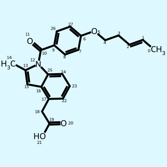 CC=CCCOc1ccc(C(=O)n2c(C)cc3c(CC(=O)O)cccc32)cc1